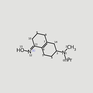 CCCN(C)C1CCC2=C(CCC/C2=N\O)C1